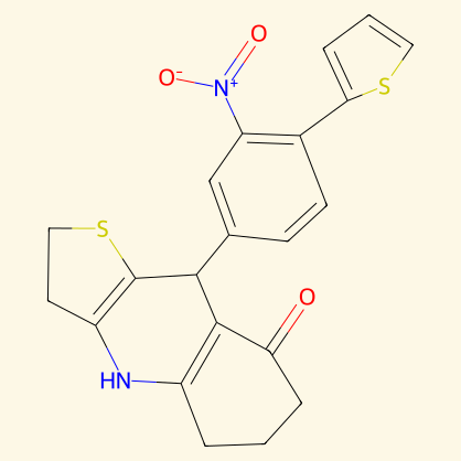 O=C1CCCC2=C1C(c1ccc(-c3cccs3)c([N+](=O)[O-])c1)C1=C(CCS1)N2